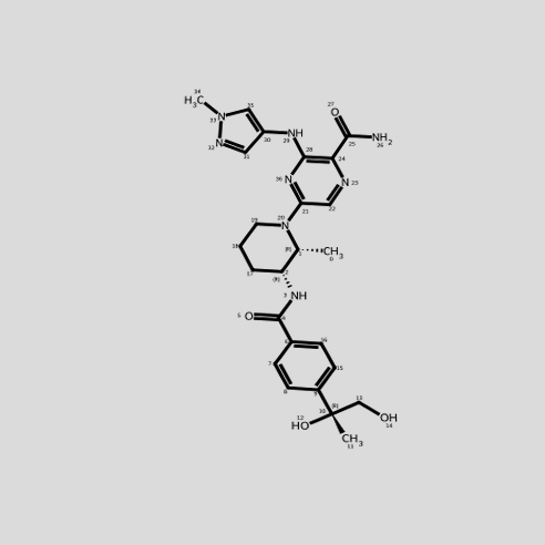 C[C@@H]1[C@H](NC(=O)c2ccc([C@@](C)(O)CO)cc2)CCCN1c1cnc(C(N)=O)c(Nc2cnn(C)c2)n1